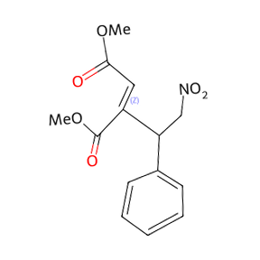 COC(=O)/C=C(\C(=O)OC)C(C[N+](=O)[O-])c1ccccc1